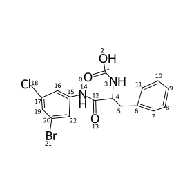 O=C(O)NC(Cc1ccccc1)C(=O)Nc1cc(Cl)cc(Br)c1